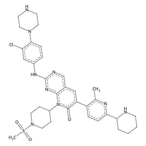 Cc1nc(C2CCCCN2)ccc1-c1cc2cnc(Nc3ccc(N4CCNCC4)c(Cl)c3)nc2n(C2CCN(S(C)(=O)=O)CC2)c1=O